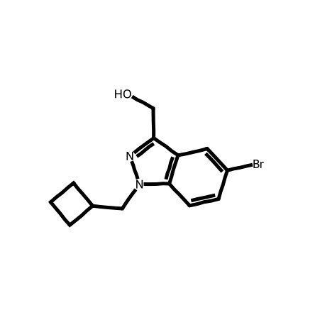 OCc1nn(CC2CCC2)c2ccc(Br)cc12